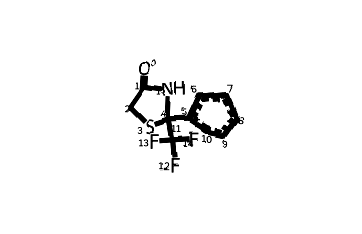 O=C1CSC(c2ccccc2)(C(F)(F)F)N1